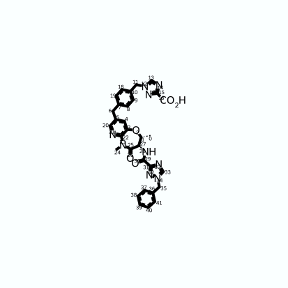 C[C@H]1Oc2cc(Cc3ccc(Cn4cnc(C(=O)O)n4)cc3)cnc2N(C)C(=O)[C@H]1NC(=O)c1ncn(Cc2ccccc2)n1